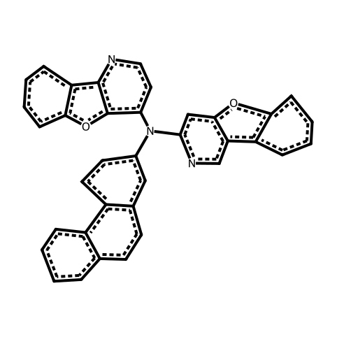 c1ccc2c(c1)ccc1cc(N(c3cc4oc5ccccc5c4cn3)c3ccnc4c3oc3ccccc34)ccc12